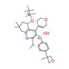 CC(C)c1nc2c(c(C3=CCOCC3)c1[C@H](O)c1ccc(C3(C)COC3)cc1)C(O[Si](C)(C)C(C)(C)C)CC(C)(C)C2